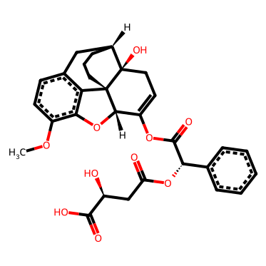 COc1ccc2c3c1O[C@H]1C(OC(=O)[C@@H](OC(=O)C[C@H](O)C(=O)O)c4ccccc4)=CC[C@@]4(O)[C@H](CCC[C@]314)C2